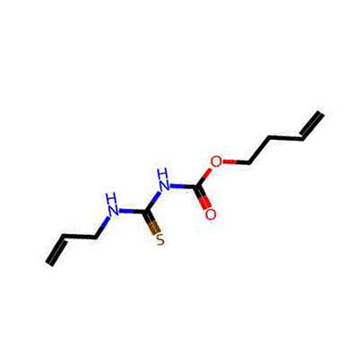 C=CCCOC(=O)NC(=S)NCC=C